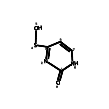 O=c1nc(SO)cc[nH]1